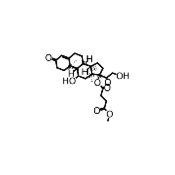 COC(=O)CCC(=O)O[C@]1(C(=O)CO)CC[C@H]2[C@@H]3CCC4=CC(=O)CC[C@]4(C)[C@H]3C(O)C[C@@]21C